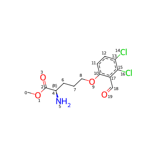 COC(=O)[C@H](N)CCCOc1ccc(Cl)c(Cl)c1C=O